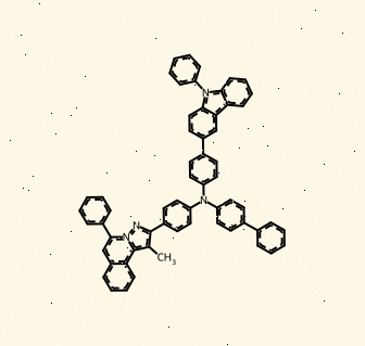 Cc1c(-c2ccc(N(c3ccc(-c4ccccc4)cc3)c3ccc(-c4ccc5c(c4)c4ccccc4n5-c4ccccc4)cc3)cc2)nn2c(-c3ccccc3)cc3ccccc3c12